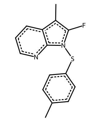 Cc1ccc(Sn2c(F)c(C)c3cccnc32)cc1